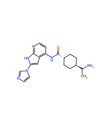 CC(N)[C@H]1CC[C@H](C(=O)Nc2ccnc3[nH]c(-n4ccnc4)cc23)CC1